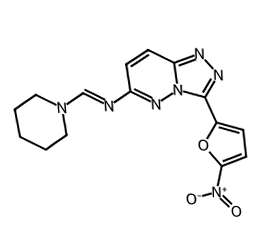 O=[N+]([O-])c1ccc(-c2nnc3ccc(N=CN4CCCCC4)nn23)o1